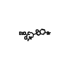 CCOC(=O)CC(C[N+](=O)[O-])c1cc2cc(Br)ccc2o1